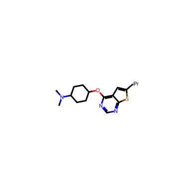 CC(C)c1cc2c(OC3CCC(N(C)C)CC3)ncnc2s1